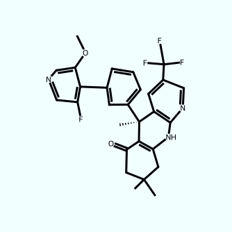 COc1cncc(F)c1-c1cccc([C@]2(C)C3=C(CC(C)(C)CC3=O)Nc3ncc(C(F)(F)F)cc32)c1